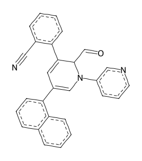 N#Cc1ccccc1C1=CC(c2cccc3ccccc23)=CN(c2cccnc2)C1C=O